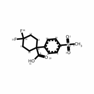 CS(=O)(=O)c1ccc(C2(C(=O)O)CCC(F)(F)CC2)cc1